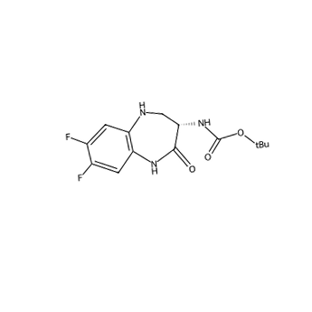 CC(C)(C)OC(=O)N[C@H]1CNc2cc(F)c(F)cc2NC1=O